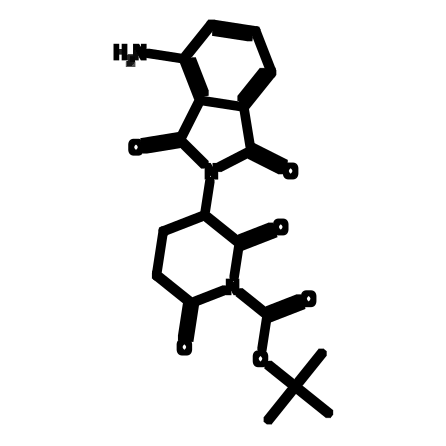 CC(C)(C)OC(=O)N1C(=O)CCC(N2C(=O)c3cccc(N)c3C2=O)C1=O